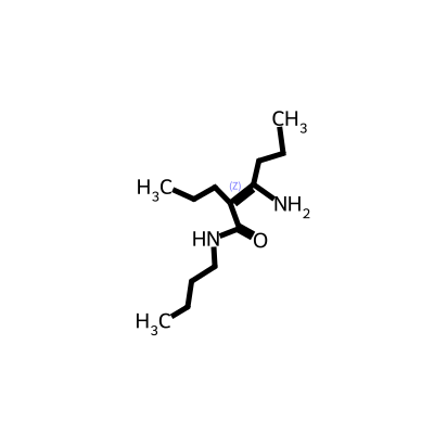 CCCCNC(=O)/C(CCC)=C(\N)CCC